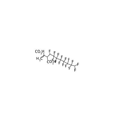 C=C(C(=O)O)C(C(=O)O)C(F)C(F)(F)C(F)(F)C(F)(F)C(F)(F)C(F)(F)C(F)(F)C(F)F